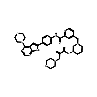 C=C(CN1CCNCC1)C(=O)N[C@@H]1CCCN(Cc2ccnc(C(=O)Nc3ccc(-c4cc5c(N6CCOCC6)ncnc5[nH]4)cc3)c2)C1